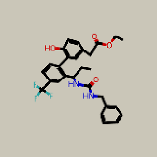 CCOC(=O)Cc1ccc(O)c(-c2ccc(C(F)(F)F)cc2C(CC)NC(=O)NCc2ccccc2)c1